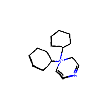 C1=C[N+](C2CCCCC2)(C2CCCCC2)CC=N1